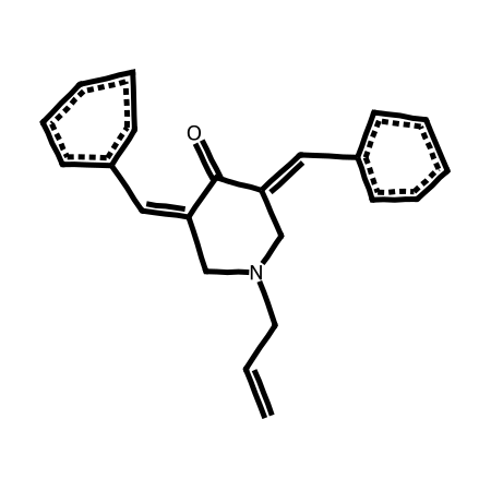 C=CCN1C/C(=C/c2ccccc2)C(=O)/C(=C/c2ccccc2)C1